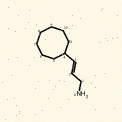 NC/C=C/C1CCCCCCC1